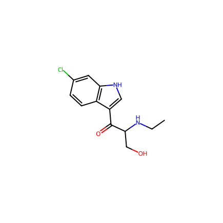 CCNC(CO)C(=O)c1c[nH]c2cc(Cl)ccc12